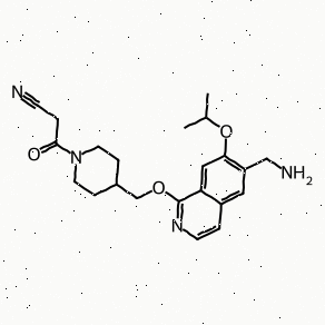 CC(C)Oc1cc2c(OCC3CCN(C(=O)CC#N)CC3)nccc2cc1CN